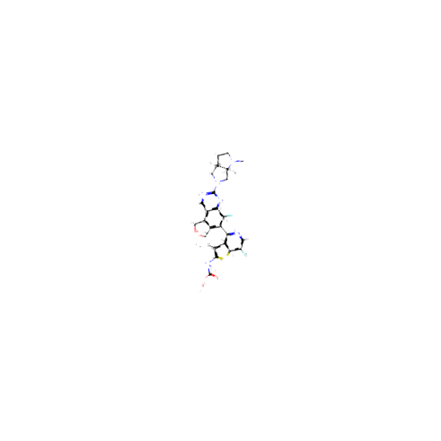 CN1CC[C@@H]2CN(c3ncc4c5c(c(-c6ncc(F)c7sc(NC(=O)OC(C)(C)C)c(C#N)c67)c(F)c4n3)COC5)C[C@@H]21